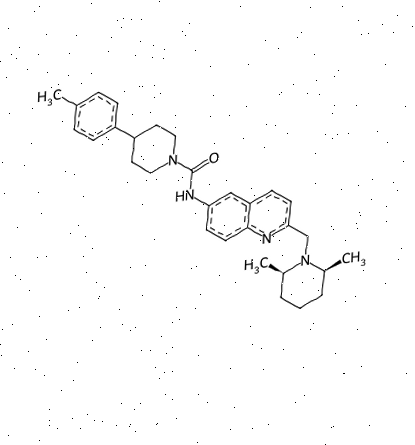 Cc1ccc(C2CCN(C(=O)Nc3ccc4nc(CN5[C@H](C)CCC[C@@H]5C)ccc4c3)CC2)cc1